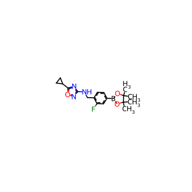 CC1(C)OB(c2ccc(CNc3noc(C4CC4)n3)c(F)c2)OC1(C)C